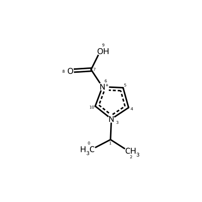 CC(C)n1cc[n+](C(=O)O)c1